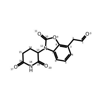 O=CCc1cccc2c1oc(=O)n2C1CCC(=O)NC1=O